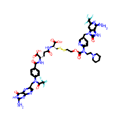 Nc1nc2ncc(CN(C(=O)C(F)(F)F)c3ccc(C(=O)N[C@@H](CCC(=O)N[C@@H](CSSCCOC(=O)N(CCN4CCCCC4)c4ccc(Cn5c(=O)[nH]c6c(N)nc(C(F)(F)F)cc65)cn4)C(=O)O)C(=O)O)cc3)nc2c(=O)[nH]1